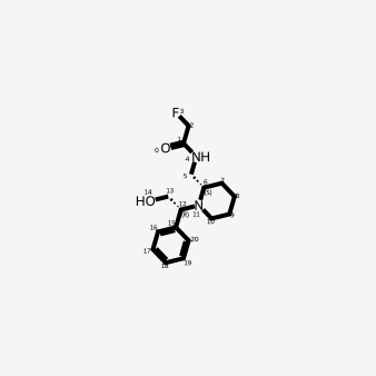 O=C(CF)NC[C@@H]1CCCCN1[C@@H](CO)c1ccccc1